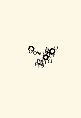 COC1=CC(=O)C[C@@H](C)[C@]12Oc1c(Cl)c(OS(=O)(=O)C(F)(F)F)cc(OCCOC3CCCCO3)c1C2=O